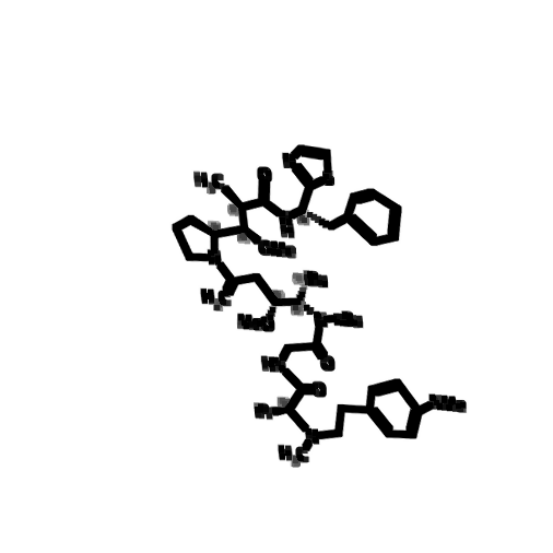 C=C(C[C@@H](OC)[C@H]([C@@H](C)CC)N(CCCC)C(=O)CNC(=O)[C@H](C(C)C)N(C)CCc1ccc(NC)cc1)N1CCC[C@H]1[C@H](OC)[C@@H](C)C(=O)N[C@@H](Cc1ccccc1)c1nccs1